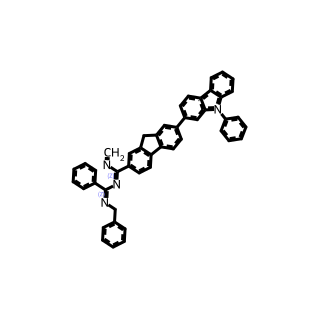 C=N/C(=N\C(=N/Cc1ccccc1)c1ccccc1)c1ccc2c(c1)Cc1cc(-c3ccc4c5ccccc5n(-c5ccccc5)c4c3)ccc1-2